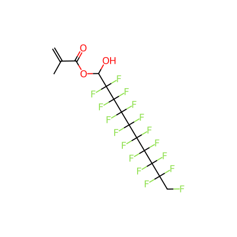 C=C(C)C(=O)OC(O)C(F)(F)C(F)(F)C(F)(F)C(F)(F)C(F)(F)C(F)(F)C(F)(F)C(F)(F)CF